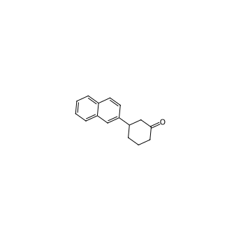 O=C1CCCC(c2ccc3ccccc3c2)C1